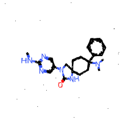 CNc1ncc(N2CC3(CCC(c4ccccc4)(N(C)C)CC3)NC2=O)cn1